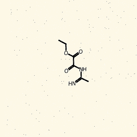 CCOC(=O)C(=O)NC(C)=N